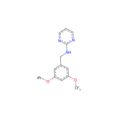 CC(C)Oc1cc(CNc2nc[c]cn2)cc(OC(F)(F)F)c1